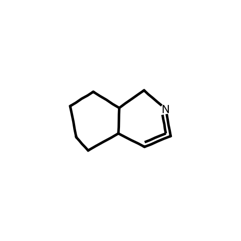 C1=CC2CCCCC2CN=1